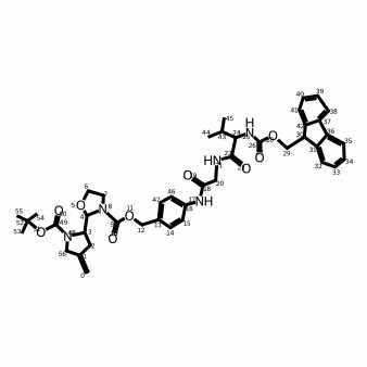 C=C1CC(C2OCCN2C(=O)OCc2ccc(NC(=O)CNC(=O)C(NC(=O)OCC3c4ccccc4-c4ccccc43)C(C)C)cc2)N(C(=O)OC(C)(C)C)C1